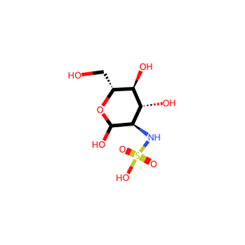 O=S(=O)(O)N[C@H]1C(O)O[C@H](CO)[C@@H](O)[C@@H]1O